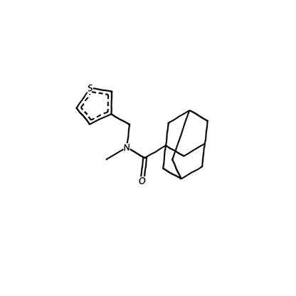 CN(Cc1ccsc1)C(=O)C12CC3CC(CC(C3)C1)C2